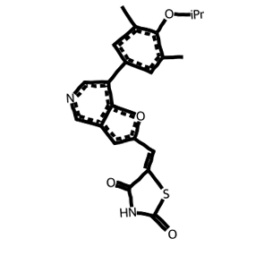 Cc1cc(-c2cncc3cc(/C=C4/SC(=O)NC4=O)oc23)cc(C)c1OC(C)C